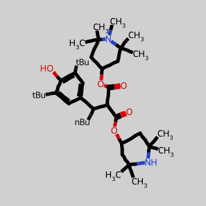 CCCCC(c1cc(C(C)(C)C)c(O)c(C(C)(C)C)c1)C(C(=O)OC1CC(C)(C)NC(C)(C)C1)C(=O)OC1CC(C)(C)N(C)C(C)(C)C1